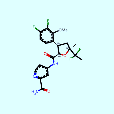 COc1c([C@@H]2C[C@@](C)(C(C)(F)F)O[C@H]2C(=O)Nc2ccnc(C(N)=O)c2)ccc(F)c1F